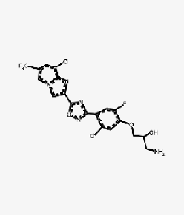 NCC(O)COc1cc(Cl)c(-c2noc(-c3cn4cc(C(F)(F)F)cc(Cl)c4n3)n2)cc1F